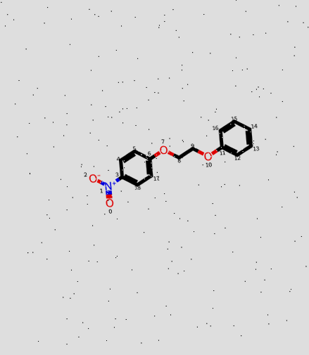 O=[N+]([O-])c1ccc(O[CH]COc2ccccc2)cc1